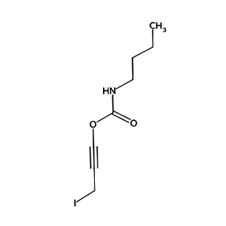 CCCCNC(=O)OC#CCI